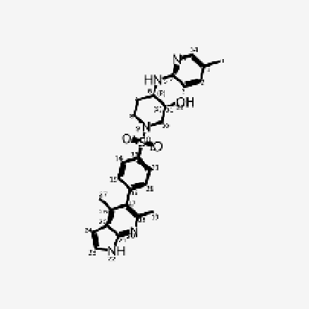 Cc1ccc(N[C@@H]2CCN(S(=O)(=O)c3ccc(-c4c(C)nc5[nH]ccc5c4C)cc3)C[C@@H]2O)nc1